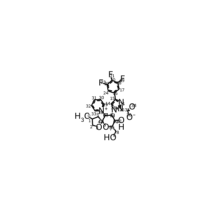 CC1CO[C@@]2(C1)O[C@H](CO)[C@H](O)[C@@H](n1cc(-c3cc(F)c(F)c(F)c3)nn1)[C@H]2[n+]1ccccc1.O=C[O-]